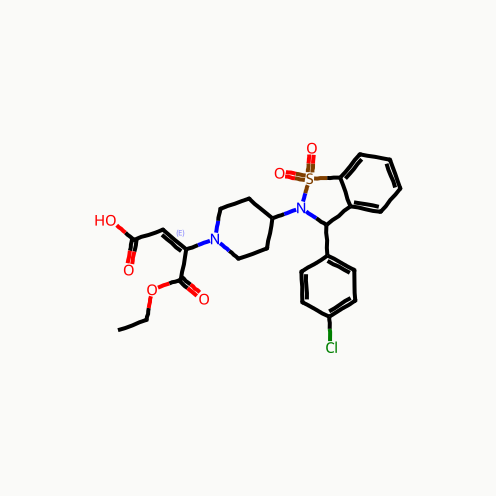 CCOC(=O)/C(=C\C(=O)O)N1CCC(N2C(c3ccc(Cl)cc3)c3ccccc3S2(=O)=O)CC1